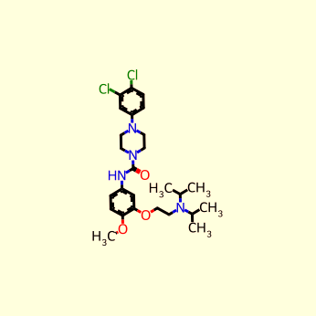 COc1ccc(NC(=O)N2CCN(c3ccc(Cl)c(Cl)c3)CC2)cc1OCCN(C(C)C)C(C)C